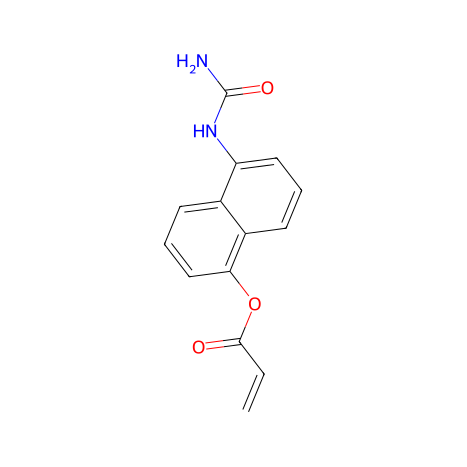 C=CC(=O)Oc1cccc2c(NC(N)=O)cccc12